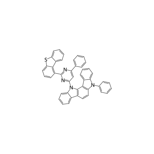 c1ccc(-c2cc(-n3c4ccccc4c4ccc5c(c6ccccc6n5-c5ccccc5)c43)nc(-c3cccc4sc5ccccc5c34)n2)cc1